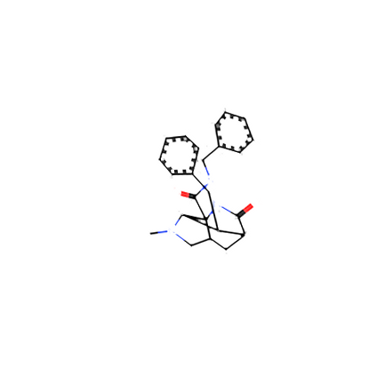 CN1CC2CC3C(=O)NC2(C(=O)NCc2ccccc2)C1C3Cc1ccccc1